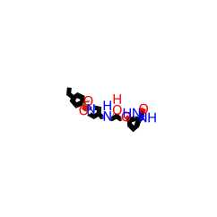 CCc1ccc(S(=O)(=O)N2CCC(CNC[C@H](O)COc3cccc4[nH]c(=O)[nH]c34)CC2)cc1